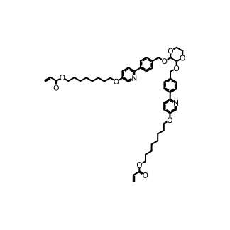 C=CC(=O)OCCCCCCCCOc1ccc(-c2ccc(COC3OCCOC3OCc3ccc(-c4ccc(OCCCCCCCCOC(=O)C=C)cn4)cc3)cc2)nc1